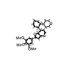 COc1cc(-c2cc3nccc(-c4ccccc4N4CCOCC4)c3o2)cc(OC)c1OC